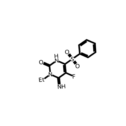 CCn1c(=O)[nH]c(S(=O)(=O)c2ccccc2)c(F)c1=N